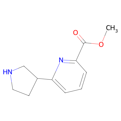 COC(=O)c1cccc(C2CCNC2)n1